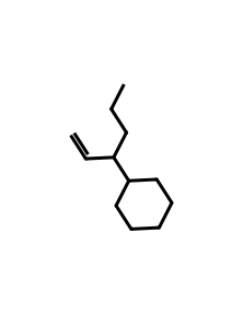 C=CC(CCC)C1CCCCC1